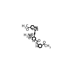 CC(=O)c1cccc(NC(=O)c2cc(C#Cc3nnc4ccc(C(C)=O)cn34)c(S(N)(=O)=O)cn2)c1